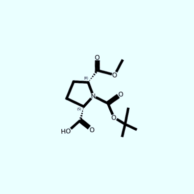 COC(=O)[C@H]1CC[C@@H](C(=O)O)N1C(=O)OC(C)(C)C